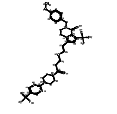 COc1ccc(CN2CCn3c(CCOCCC(=O)N4CCN(c5ncc(C(F)(F)F)cn5)CC4)cc(C(F)(F)F)c3C2=O)cc1